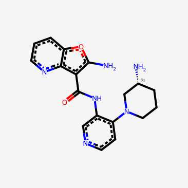 Nc1oc2cccnc2c1C(=O)Nc1cnccc1N1CCC[C@@H](N)C1